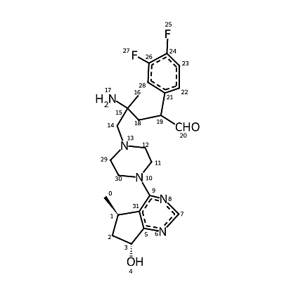 C[C@@H]1C[C@@H](O)c2ncnc(N3CCN(CC(C)(N)CC(C=O)c4ccc(F)c(F)c4)CC3)c21